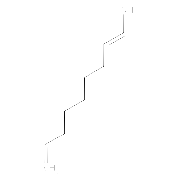 C=CCC[CH]CCC=CN